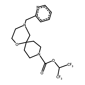 O=C(OC(C(F)(F)F)C(F)(F)F)N1CCC2(CC1)CN(Cc1ccccn1)CCO2